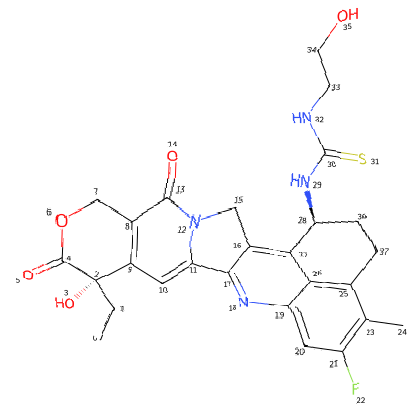 CC[C@@]1(O)C(=O)OCc2c1cc1n(c2=O)Cc2c-1nc1cc(F)c(C)c3c1c2[C@@H](NC(=S)NCCO)CC3